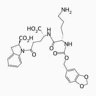 NCCCC[C@H](NC(=O)OCc1ccc2c(c1)OCO2)C(=O)N[C@H](CCC(=O)N1c2ccccc2C[C@H]1C(=O)O)C(=O)O